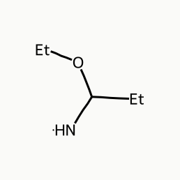 CCOC([NH])CC